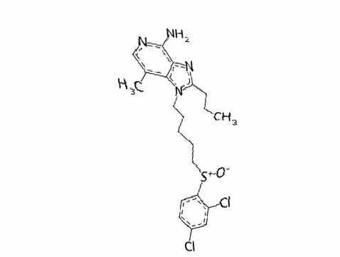 CCCc1nc2c(N)ncc(C)c2n1CCCCC[S+]([O-])c1ccc(Cl)cc1Cl